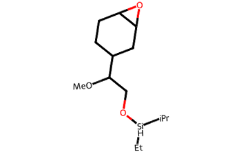 CC[SiH](OCC(OC)C1CCC2OC2C1)C(C)C